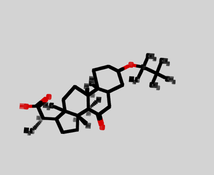 C[C@H](C(=O)O)C1CC[C@H]2[C@@H]3C(=O)CC4CC(O[Si](C)(C)C(C)(C)C)CCC4(C)[C@H]3CCC12C